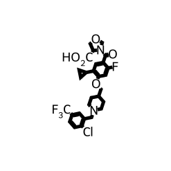 O=C(O)C1COCN1C(=O)c1cc(C2CC2)c(OCC2CCN(Cc3cc(C(F)(F)F)ccc3Cl)CC2)cc1F